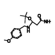 COc1ccc(CNC(CC([NH])=O)OC(C)(C)C)cc1